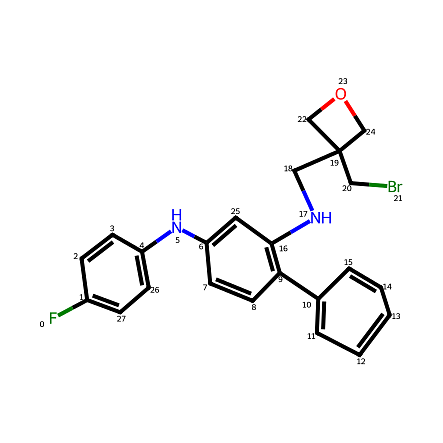 Fc1ccc(Nc2ccc(-c3ccccc3)c(NCC3(CBr)COC3)c2)cc1